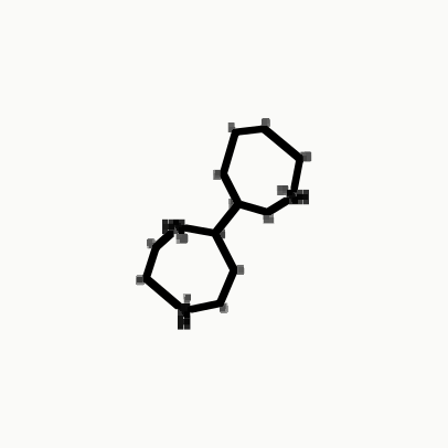 C1CCC(C2CCNCCN2)CNC1